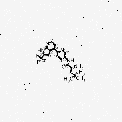 CC(C)(C)C[C@@H](N)C(=O)Nc1ccc(-c2ccnc3[nH]c(C(F)(F)F)cc23)nc1